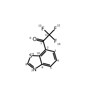 O=C(c1cccc2ncsc12)C(F)(F)F